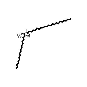 CCCCCCCCCCCCCCCCCCCCCCCC(=O)N[C@H](CO)[C@H](O)C(O)CCCCCCCCCCCCCCCC